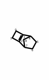 C1CC2=C1C1CCC2C1